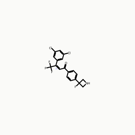 O=C(/C=C(\c1cc(Cl)cc(Cl)c1)C(F)(F)F)c1ccc(C2(F)CNC2)cc1